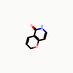 O=c1[nH]ccc2c1C=CCO2